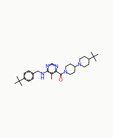 Cc1c(NCc2ccc(C(C)(C)C)cc2)ncnc1C(=O)N1CCC(N2CCC(C(C)(C)C)CC2)CC1